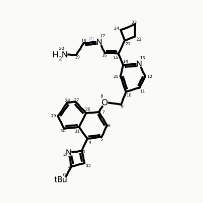 CC(C)(C)C1=NC(c2ccc(OCc3ccnc(C(=C/N=C\CN)C4CCC4)c3)c3ccccc23)=C1